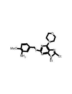 CCc1nc2c(N3CCOCC3)nc(SCc3ccc(OC)c(N)c3)nc2n1CC